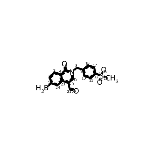 Bc1ccc2c(=O)n(Cc3ccc(S(C)(=O)=O)cc3)cc(C=O)c2c1